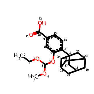 CCOC(OC)Oc1cc(C(=O)O)ccc1C12CC3CC(CC(C3)C1)C2